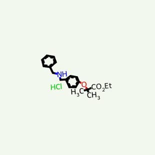 CCOC(=O)C(C)(C)Oc1ccc(CNCc2ccccc2)cc1.Cl